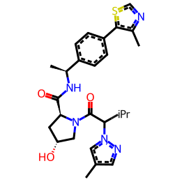 Cc1cnn(C(C(=O)N2C[C@H](O)C[C@H]2C(=O)N[C@@H](C)c2ccc(-c3scnc3C)cc2)C(C)C)c1